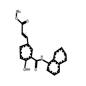 COc1ccc(/C=C/C(=O)OC(C)(C)C)cc1C(=O)Nc1cccc2ccccc12